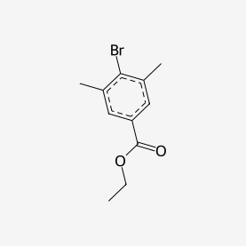 CCOC(=O)c1cc(C)c(Br)c(C)c1